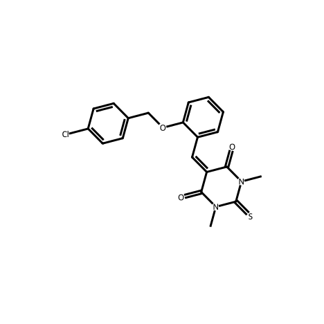 CN1C(=O)C(=Cc2ccccc2OCc2ccc(Cl)cc2)C(=O)N(C)C1=S